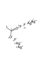 CC(=O)[O-].[Ag+].[Ag+].[Ag+].[Ag+].[F-].[F-].[F-]